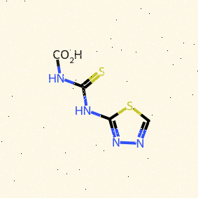 O=C(O)NC(=S)Nc1nncs1